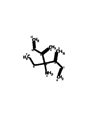 C=CC(=C)C(N)(CC)C(=C)C=C